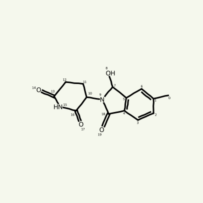 Cc1ccc2c(c1)C(O)N(C1CCC(=O)NC1=O)C2=O